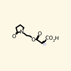 O=C(O)/C=C\C(=O)OCCN1CCCC1=O